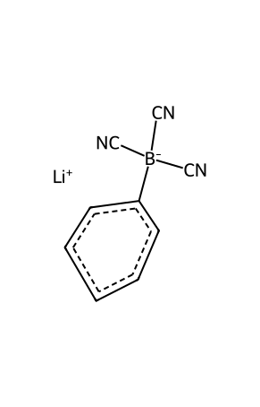 N#C[B-](C#N)(C#N)c1ccccc1.[Li+]